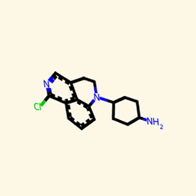 NC1CCC(N2CCc3cnc(Cl)c4cccc2c34)CC1